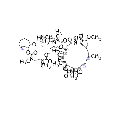 CNC(=O)COC1CCCC/C=C/C1OC(=O)N(C)CCN(C)C(=O)OCCC(=O)N(C)[C@@H](C)C(=O)O[C@H]1CC(=O)N(C)c2cc(cc(OC)c2Cl)C/C(C)=C/C=C/[C@@H](OC)[C@@]2(O)C[C@H](OC(=O)N2)[C@@H](C)[C@@H]2O[C@@]12C